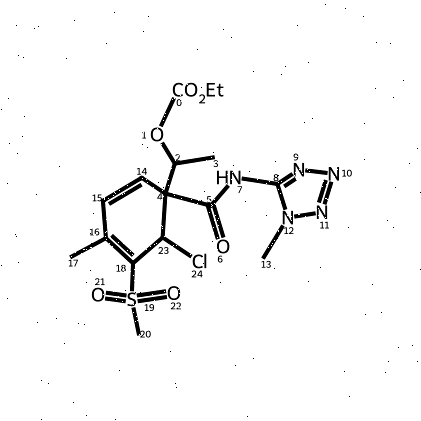 CCOC(=O)OC(C)C1(C(=O)Nc2nnnn2C)C=CC(C)=C(S(C)(=O)=O)C1Cl